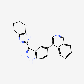 c1ccc2c(-c3ccc4[nH]nc(-c5nc6c([nH]5)CCCC6)c4c3)cncc2c1